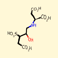 O=C(O)CC(C(O)CN[C@@H](CC(=O)O)C(=O)O)S(=O)(=O)O